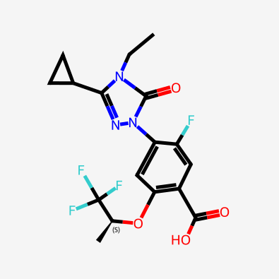 CCn1c(C2CC2)nn(-c2cc(O[C@@H](C)C(F)(F)F)c(C(=O)O)cc2F)c1=O